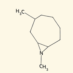 CC1CCCCC2C(C1)N2C